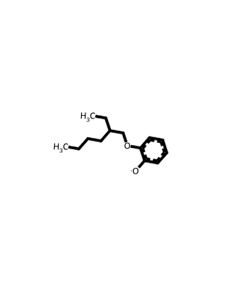 CCCCC(CC)COc1ccccc1[O]